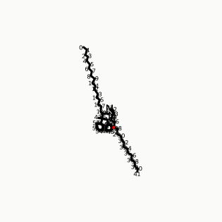 CCCCCCCCCCCCCCCCCCCC(c1nccn1CCCCCCCCCCCCCCCCC)C(C)(Cc1ccccc1)c1ccccc1